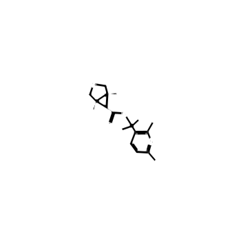 Cc1ccc(C(C)(C)NC(=O)[C@H]2[C@@H]3CNC[C@@H]32)c(C)n1